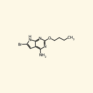 CCCCOc1nc(N)c2cc(Br)[nH]c2n1